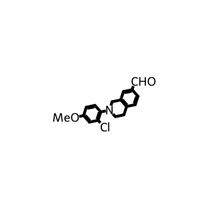 COc1ccc(N2CCc3ccc(C=O)cc3C2)c(Cl)c1